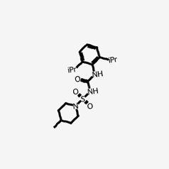 CC1CCN(S(=O)(=O)NC(=O)Nc2c(C(C)C)cccc2C(C)C)CC1